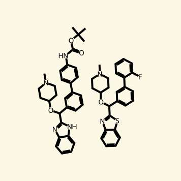 CN1CCC(OC(c2cccc(-c3ccc(NC(=O)OC(C)(C)C)cc3)c2)c2nc3ccccc3[nH]2)CC1.CN1CCC(OC(c2cccc(-c3ccccc3F)c2)c2nc3ccccc3s2)CC1